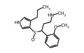 CCCc1c[nH]cc1[S+]([O-])C(CCNC)c1ccccc1OC